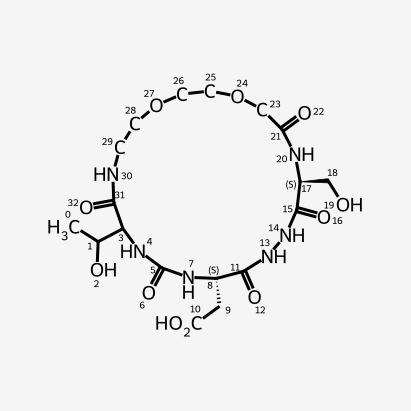 CC(O)C1NC(=O)N[C@@H](CC(=O)O)C(=O)NNC(=O)[C@H](CO)NC(=O)COCCOCCNC1=O